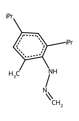 C=NNc1c(C)cc(C(C)C)cc1C(C)C